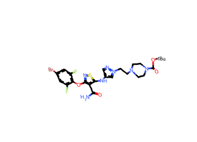 CC(C)(C)OC(=O)N1CCN(CCn2cc(Nc3snc(Oc4c(F)cc(Br)cc4F)c3C(N)=O)cn2)CC1